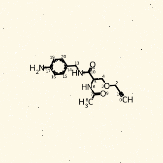 C#CCOCC(NC(C)=O)C(=O)NCc1ccc(N)cc1